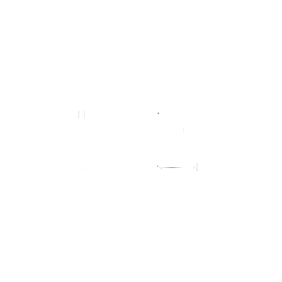 CC(C)[C@@H](C(=O)O)C(F)(F)F